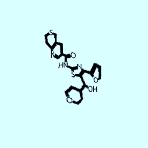 O=C(Nc1nc(-c2ccco2)c(C(O)C2CCOCC2)s1)c1cnc2c(c1)CSCC2